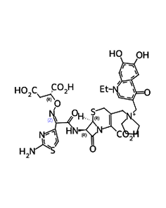 CCn1cc(C[N+]2(CC3=C(C(=O)O)N4C(=O)[C@@H](NC(=O)/C(=N\O[C@H](CC(=O)O)C(=O)O)c5csc(N)n5)[C@H]4SC3)CCCC2)c(=O)c2cc(O)c(O)cc21